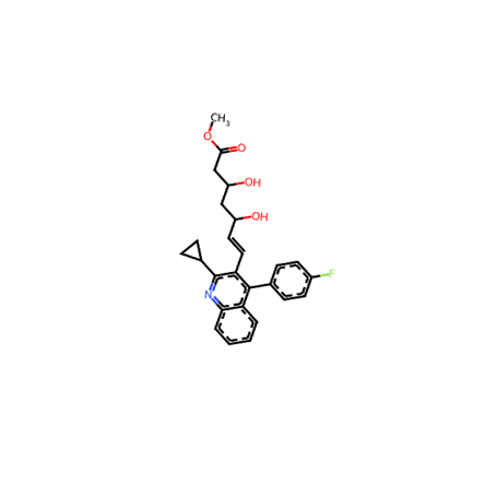 COC(=O)CC(O)CC(O)/C=C/c1c(C2CC2)nc2ccccc2c1-c1ccc(F)cc1